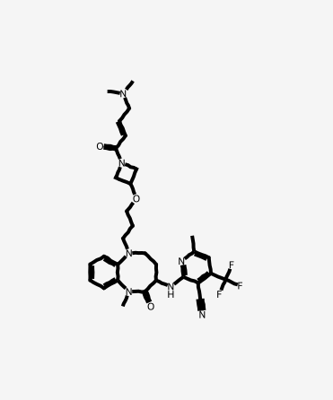 Cc1cc(C(F)(F)F)c(C#N)c(NC2CCN(CCCOC3CN(C(=O)C=CCN(C)C)C3)c3ccccc3N(C)C2=O)n1